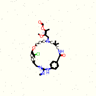 C=N/C1=N\Cc2ccc(c(Cl)c2)OCCCN(C/C(OC)=C(\C)OC=O)CC(C)(C)CNC(=O)c2ccc(cc2)N1